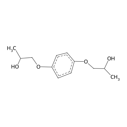 CC(O)COc1ccc(OCC(C)O)cc1